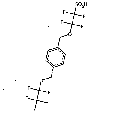 CC(F)(F)C(F)(F)OCc1ccc(COC(F)(F)C(F)(F)S(=O)(=O)O)cc1